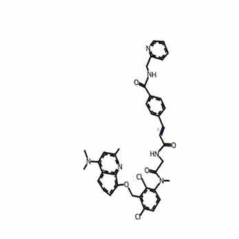 Cc1cc(N(C)C)c2cccc(OCc3c(Cl)ccc(N(C)C(=O)CNC(=O)/C=C/c4ccc(C(=O)NCc5ccccn5)cc4)c3Cl)c2n1